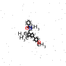 COc1ccc(-c2ccc3c(c2)C(C)[C@@H](C)C3CCN(C)C(=O)C2CCCCC2)cc1